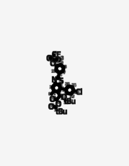 Cc1cc2nc(-c3cccc(OS(=O)(=O)C(F)(F)F)c3)sc2c(-c2ccc(Cl)cc2)c1[C@H](OC(C)(C)C)C(=O)OC(=O)C(C)(C)C